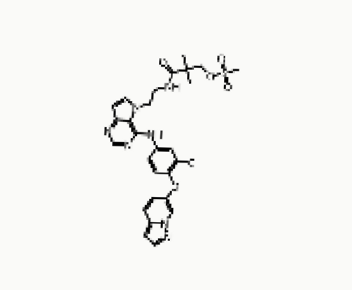 CC(C)(COS(C)(=O)=O)C(=O)NCCn1ccc2ncnc(Nc3ccc(Oc4ccc5ccnn5c4)c(Cl)c3)c21